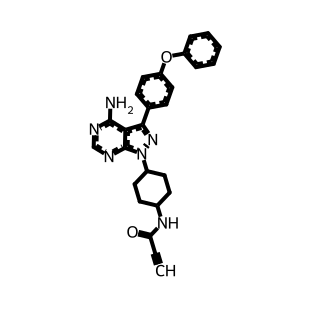 C#CC(=O)NC1CCC(n2nc(-c3ccc(Oc4ccccc4)cc3)c3c(N)ncnc32)CC1